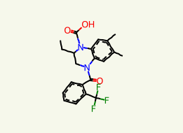 CCC1CN(C(=O)c2ccccc2C(F)(F)F)c2cc(C)c(C)cc2N1C(=O)O